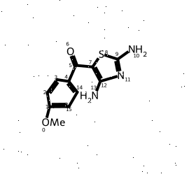 COc1ccc(C(=O)c2sc(N)nc2N)cc1